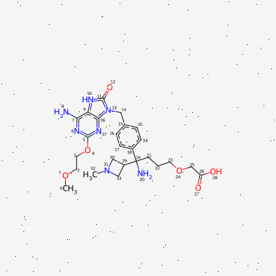 COCCOc1nc(N)c2[nH]c(=O)n(Cc3ccc(C(N)(CCCOCC(=O)O)C4CN(C)C4)cc3)c2n1